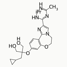 CC(=N)/N=C(\NC(C)C)c1cn2c(n1)-c1ccc(OC(CO)(CO)CC3CC3)cc1OCC2